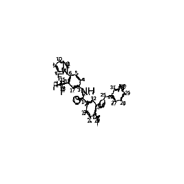 O=C(Nc1ccc(-n2cccn2)c(C(F)(F)F)c1)c1ccc(F)c(OCc2cccnc2)c1